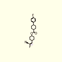 N#C/C(F)=C\C1CCC(OC(=O)C2CCC(c3ccc(F)cc3)CC2)CC1